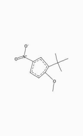 COc1ccc([N+](=O)[O-])cc1C(C)(C)C